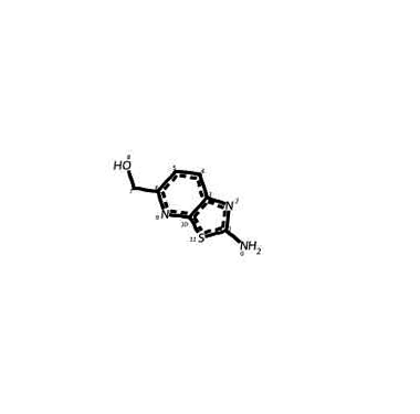 Nc1nc2ccc(CO)nc2s1